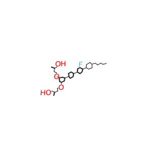 C=C(CO)CCOc1cc(OCCC(=C)CO)cc(-c2ccc(-c3ccc(C4CCC(CCCCC)CC4)c(F)c3)cc2)c1